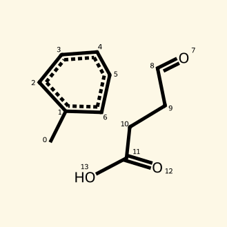 Cc1ccccc1.O=CCCC(=O)O